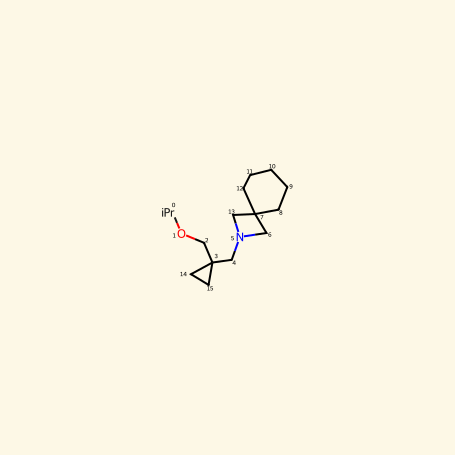 CC(C)OCC1(CN2CC3(CCCCC3)C2)CC1